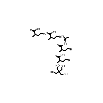 CC(=O)O.CC(CCBr)C(=O)O.CC(CCBr)C(=O)O.CC(CCBr)C(=O)O.CC(CCBr)C(=O)O.OCC(CO)(CO)CO